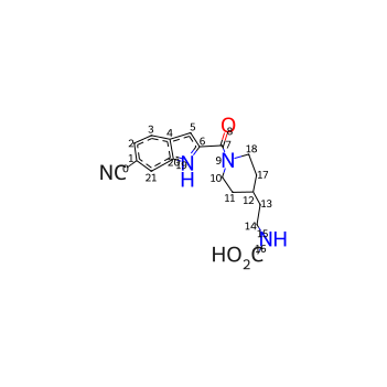 N#Cc1ccc2cc(C(=O)N3CCC(CCNC(=O)O)CC3)[nH]c2c1